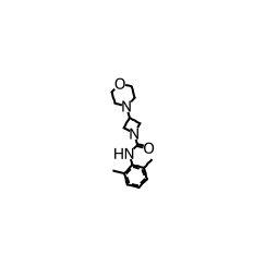 Cc1cccc(C)c1NC(=O)N1CC(N2CCOCC2)C1